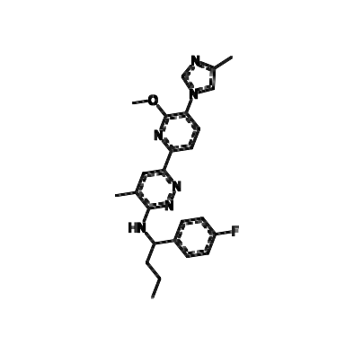 CCCC(Nc1nnc(-c2ccc(-n3cnc(C)c3)c(OC)n2)cc1C)c1ccc(F)cc1